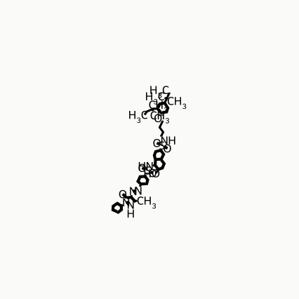 CCC(C)(C)c1ccc(OCCCCNS(=O)(=O)c2ccc3c(NS(=O)(=O)c4ccc(N=Nc5c(C)[nH]n(-c6ccccc6)c5=O)cc4)c(O)ccc3c2)c(C(C)(C)CC)c1